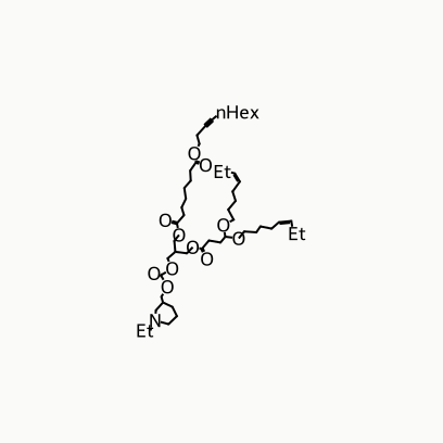 CC/C=C\CCCCOC(CCC(=O)OCC(COC(=O)CCCCCCC(=O)OCCC#CCCCCCC)COC(=O)OCC1CCCN(CC)C1)OCCCC/C=C\CC